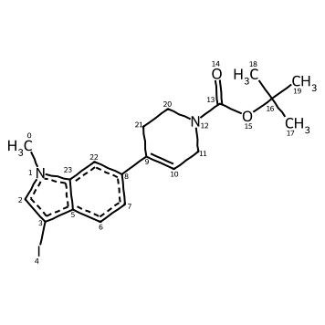 Cn1cc(I)c2ccc(C3=CCN(C(=O)OC(C)(C)C)CC3)cc21